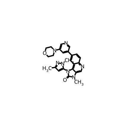 Cc1cc(-n2c(=O)n(C)c3cnc4ccc(-c5cncc(N6CCOCC6)c5)cc4c32)n(C)n1